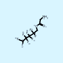 NCC(=O)OCC(F)(F)C(F)(F)C(F)(F)C(F)F